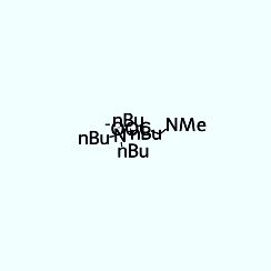 CCCC[N+](CCCC)(CCCC)CCCC.CNCC(=O)[O-]